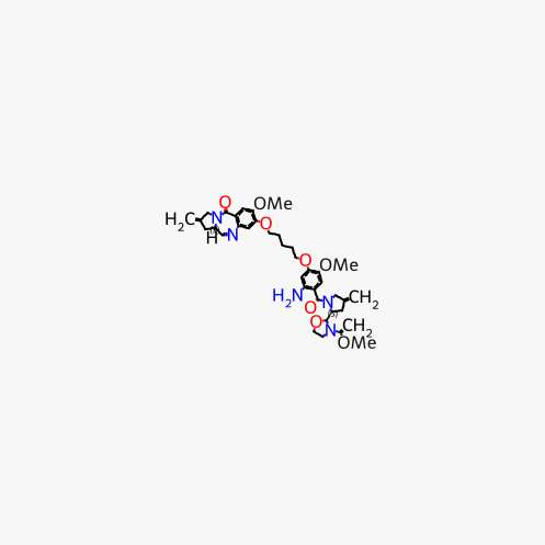 C=C1C[C@H]2C=Nc3cc(OCCCCCOc4cc(N)c(C(=O)N5CC(=C)C[C@H]5C5OCCN5C(=C)OC)cc4OC)c(OC)cc3C(=O)N2C1